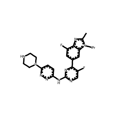 Cc1nc2c(F)cc(-c3nc(Nc4ccc(N5CCNCC5)nn4)ncc3F)cc2n1C(C)C